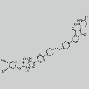 CC1(C)C(NC(=O)c2cnc(N3CCC(CCN4CCN(c5ccc6c(c5)C(=O)N(C5CCC(=O)NC5=O)C6=O)CC4)CC3)nc2)C(C)(C)C1Oc1ccc(C#N)c(C#N)c1